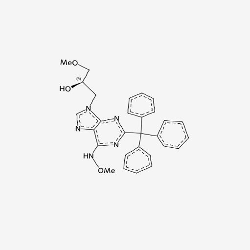 COC[C@H](O)Cn1cnc2c(NOC)nc(C(c3ccccc3)(c3ccccc3)c3ccccc3)nc21